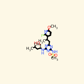 COc1ccc(C(C)Cc2nc(N[C@@H](CO)CC(C)C)nc(NS(C)(=O)=O)n2)c(F)n1